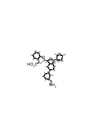 NCc1cccc(-c2ccc3c(c2)c(COc2ccccc2CC(=O)O)nn3-c2cccnc2)c1